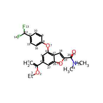 C=C(OCC)c1cc(Oc2ccc(C(F)F)cc2)c2cc(C(=O)N(C)C)oc2c1